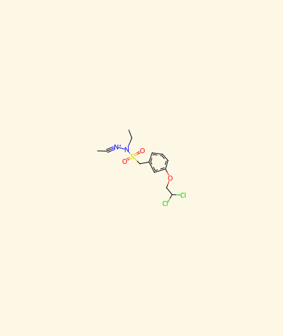 CC#[N+]N(CC)S(=O)(=O)Cc1cccc(OCC(Cl)Cl)c1